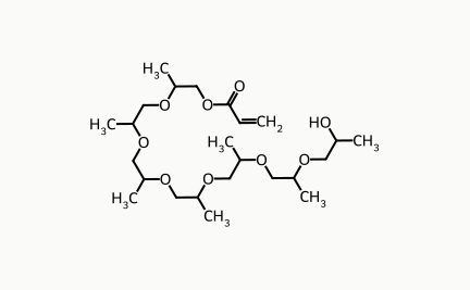 C=CC(=O)OCC(C)OCC(C)OCC(C)OCC(C)OCC(C)OCC(C)OCC(C)O